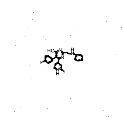 Oc1nc(CCNc2ccccc2)nc(-c2cc[nH]c(=S)c2)c1-c1ccc(F)cc1